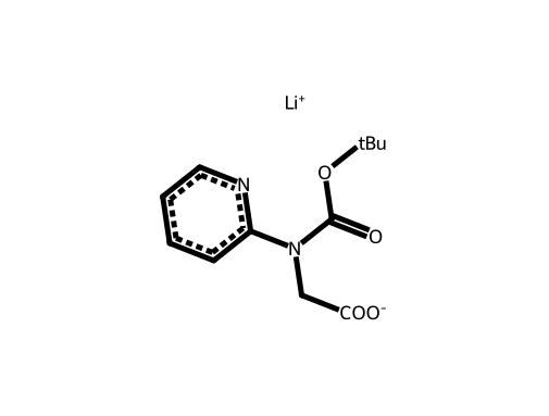 CC(C)(C)OC(=O)N(CC(=O)[O-])c1ccccn1.[Li+]